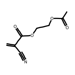 C=C(C#N)C(=O)OCCOC(C)=O